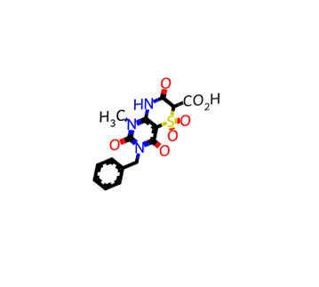 Cn1c2c(c(=O)n(Cc3ccccc3)c1=O)S(=O)(=O)C(C(=O)O)C(=O)N2